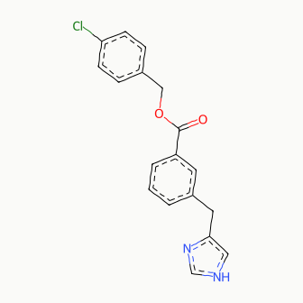 O=C(OCc1ccc(Cl)cc1)c1cccc(Cc2c[nH]cn2)c1